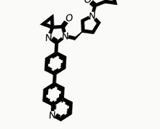 O=C(C1CC1)N1CC[C@@H](CN2C(=O)C3(CC3)N=C2c2ccc(-c3ccc4ncccc4c3)cc2)C1